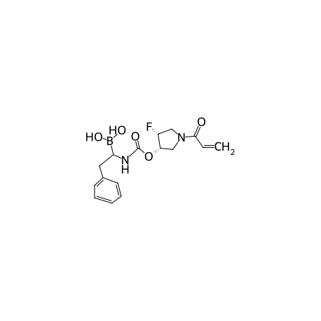 C=CC(=O)N1C[C@@H](F)[C@@H](OC(=O)NC(Cc2ccccc2)B(O)O)C1